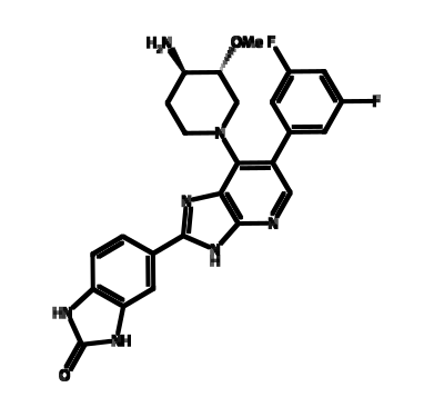 CO[C@@H]1CN(c2c(-c3cc(F)cc(F)c3)cnc3[nH]c(-c4ccc5[nH]c(=O)[nH]c5c4)nc23)CC[C@H]1N